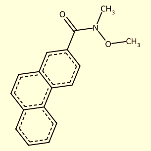 CON(C)C(=O)c1ccc2c(ccc3ccccc32)c1